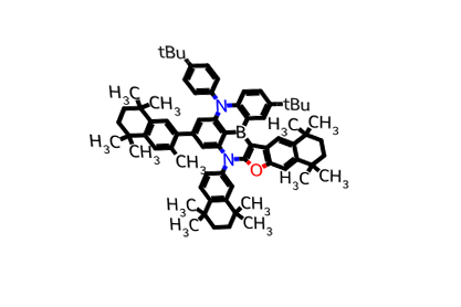 Cc1cc2c(cc1-c1cc3c4c(c1)N(c1ccc5c(c1)C(C)(C)CCC5(C)C)c1oc5cc6c(cc5c1B4c1cc(C(C)(C)C)ccc1N3c1ccc(C(C)(C)C)cc1)C(C)(C)CCC6(C)C)C(C)(C)CCC2(C)C